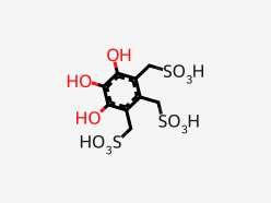 O=S(=O)(O)Cc1c(O)c(O)c(O)c(CS(=O)(=O)O)c1CS(=O)(=O)O